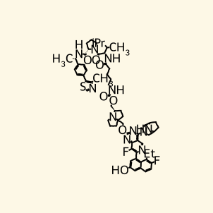 CCc1c(F)ccc2cc(O)cc(-c3ncc4c(N5CC6CCC(C5)N6)nc(OCC56CCCN5[C@@H](COC(=O)NCCCCC(=O)NC(C(=O)N5CCC[C@H]5C(=O)N[C@@H](C)c5ccc(-c7scnc7C)cc5)C(C)C(C)C)CC6)nc4c3F)c12